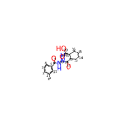 Cc1cccc(C(=O)NNC(=O)C2CC=CCC2C(=O)O)c1